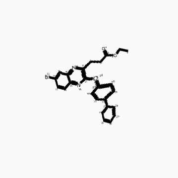 CCOC(=O)CCc1nc2cc(Br)ccc2nc1Oc1ccc(-c2ccccc2)cc1